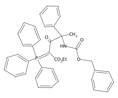 CCOC(=O)C(C(=O)C(C)(NC(=O)OCc1ccccc1)c1ccccc1)=P(c1ccccc1)(c1ccccc1)c1ccccc1